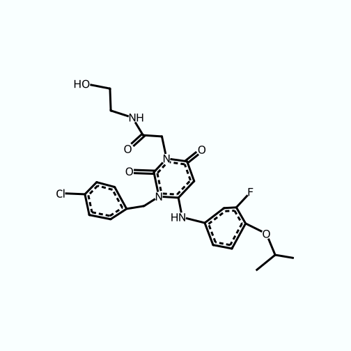 CC(C)Oc1ccc(Nc2cc(=O)n(CC(=O)NCCO)c(=O)n2Cc2ccc(Cl)cc2)cc1F